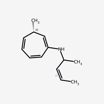 C/C=C\C(C)NC1=C[C@@H](C)C=CC=C1